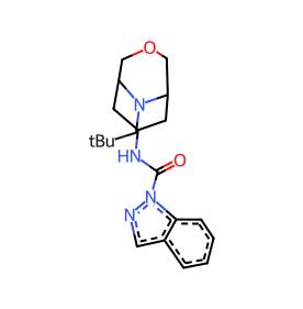 CC(C)(C)CN1C2COCC1CC(NC(=O)n1ncc3ccccc31)C2